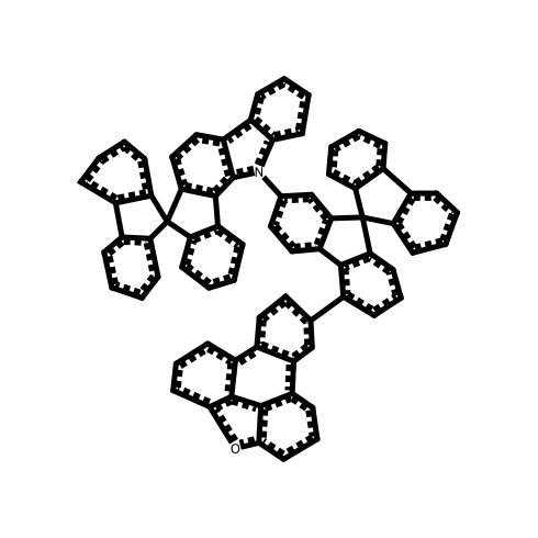 c1ccc2c(c1)-c1ccccc1C21c2cc(-n3c4ccccc4c4ccc5c(c43)-c3ccccc3C53c4ccccc4-c4ccccc43)ccc2-c2c(-c3ccc4c(c3)c3cccc5oc6cccc4c6c53)cccc21